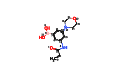 C=CC(=O)Nc1cc(B(O)O)cc(N2CCOCC2)c1